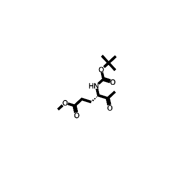 COC(=O)CC[C@H](NC(=O)OC(C)(C)C)C(C)=O